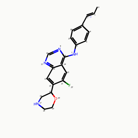 C/C=C/c1ccc(Nc2ncnc3cc(C4CNCCO4)c(F)cc23)cc1